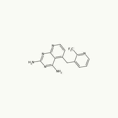 Nc1nc(N)c2c(Cc3cccnc3C(F)(F)F)ccnc2n1